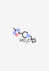 Cc1noc(C2CCN(CC3(C(=O)O)CCC3)CC2)n1